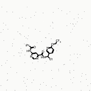 CCC(NC(=O)c1cc(NC(=O)C(C)C)ncn1)c1ccc(OCC(F)(F)F)nc1